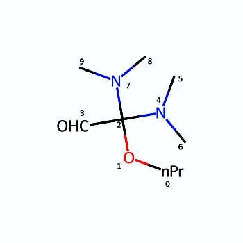 CCCOC(C=O)(N(C)C)N(C)C